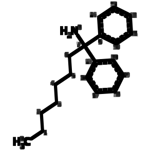 CCCCCCCC(N)(c1ccccc1)c1ccccc1